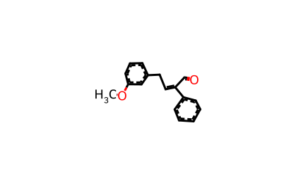 COc1cccc(CC=C(C=O)c2ccccc2)c1